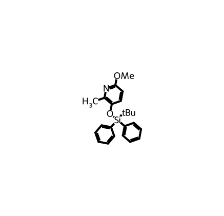 COc1ccc(O[Si](c2ccccc2)(c2ccccc2)C(C)(C)C)c(C)n1